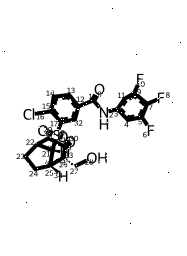 O=C(Nc1cc(F)c(F)c(F)c1)c1ccc(Cl)c(S(=O)(=O)[C@H]2C3CC[C@H]2[C@@H](CO)C(=O)C3)c1